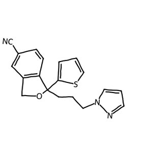 N#Cc1ccc2c(c1)COC2(CCCn1cccn1)c1cccs1